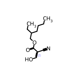 CCCCC(CC)COC(=O)/C(C#N)=C\O